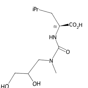 CC(C)C[C@H](NC(=O)N(C)CC(O)CO)C(=O)O